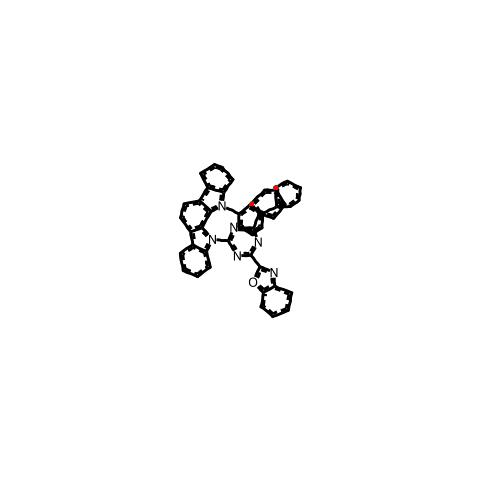 c1ccc(-c2cccc(-n3c4ccccc4c4ccc5c6ccccc6n(-c6nc(-c7ccccc7)nc(-c7nc8ccccc8o7)n6)c5c43)c2)cc1